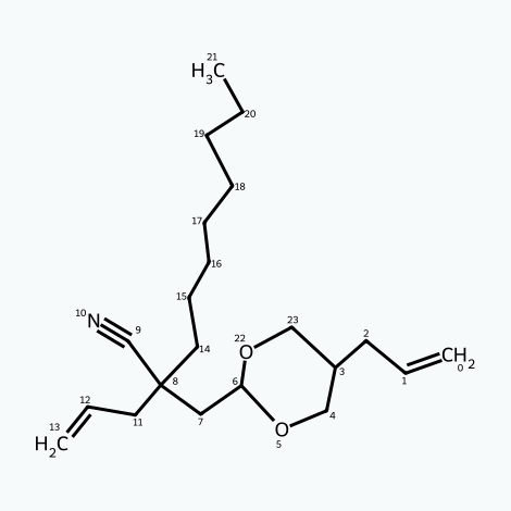 C=CCC1COC(CC(C#N)(CC=C)CCCCCCCC)OC1